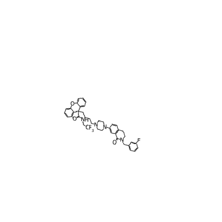 O=C1c2cc(N3CCN(CCCCC4(C(=O)NCC(F)(F)F)c5ccccc5Oc5ccccc54)CC3)ccc2CCN1Cc1cccc(F)c1